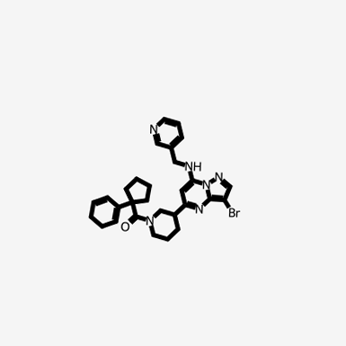 O=C(N1CCCC(c2cc(NCc3cccnc3)n3ncc(Br)c3n2)C1)C1(C2=CCCC=C2)CCCC1